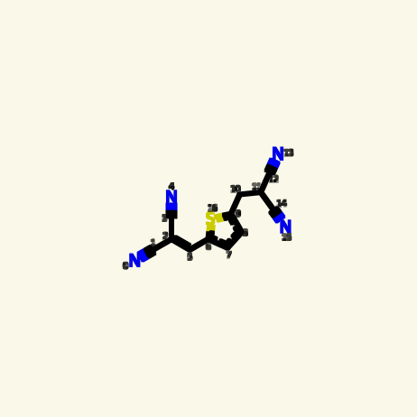 N#CC(C#N)=Cc1ccc(CC(C#N)C#N)s1